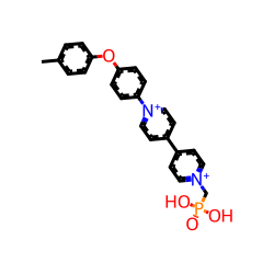 Cc1ccc(Oc2ccc(-[n+]3ccc(-c4cc[n+](CP(=O)(O)O)cc4)cc3)cc2)cc1